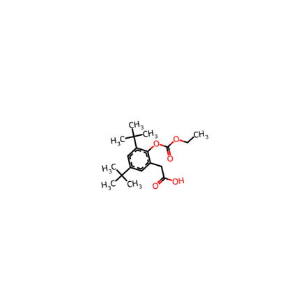 CCOC(=O)Oc1c(CC(=O)O)cc(C(C)(C)C)cc1C(C)(C)C